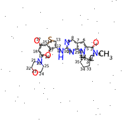 CN(C)C(=O)c1cc2cnc(Nc3csc4c(=O)cc(N5CCOCC5)oc34)nc2n1C1CCCC1